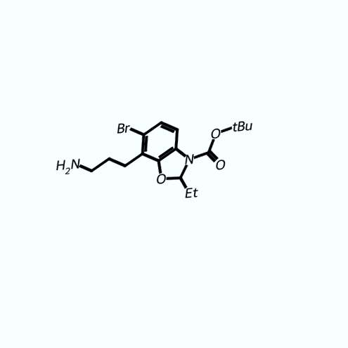 CCC1Oc2c(ccc(Br)c2CCCN)N1C(=O)OC(C)(C)C